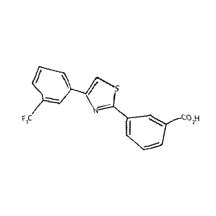 O=C(O)c1cccc(-c2nc(-c3cccc(C(F)(F)F)c3)cs2)c1